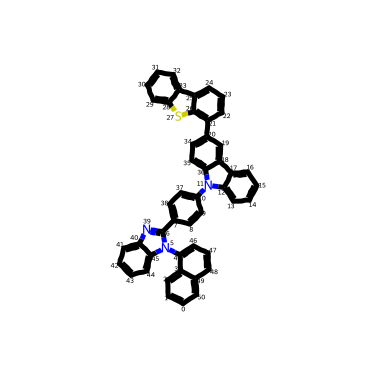 c1ccc2c(-n3c(-c4ccc(-n5c6ccccc6c6cc(-c7cccc8c7sc7ccccc78)ccc65)cc4)nc4ccccc43)cccc2c1